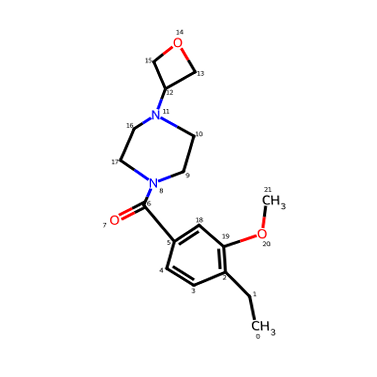 CCc1ccc(C(=O)N2CCN(C3COC3)CC2)cc1OC